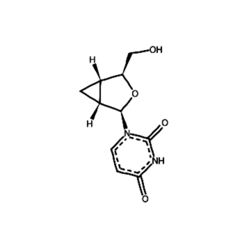 O=c1ccn([C@@H]2O[C@H](CO)[C@H]3C[C@H]32)c(=O)[nH]1